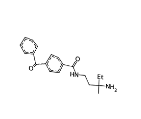 CCC(C)(N)CCNC(=O)c1ccc(C(=O)c2ccccc2)cc1